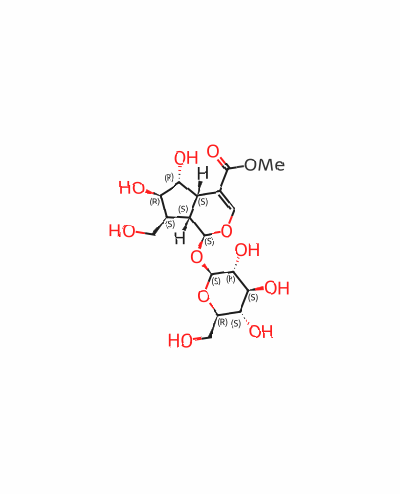 COC(=O)C1=CO[C@@H](O[C@@H]2O[C@H](CO)[C@@H](O)[C@H](O)[C@H]2O)[C@@H]2[C@@H](CO)[C@@H](O)[C@H](O)[C@H]12